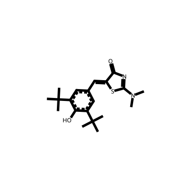 CN(C)C1=NC(=O)C(=Cc2cc(C(C)(C)C)c(O)c(C(C)(C)C)c2)S1